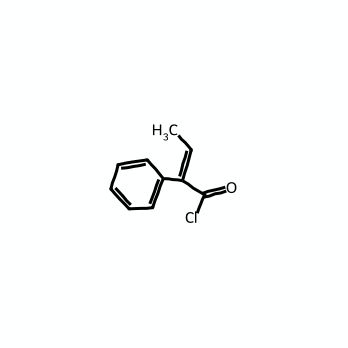 C/C=C(/C(=O)Cl)c1ccccc1